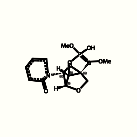 COC[C@@]12CO[C@H]([C@H](n3ccccc3=O)O1)[C@@H]2OP(=O)(O)OC